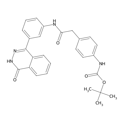 CC(C)(C)OC(=O)Nc1ccc(CC(=O)Nc2cccc(-c3n[nH]c(=O)c4ccccc34)c2)cc1